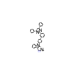 C=N/C=C\c1c(C)n(-c2ccc(-c3cccc(-c4nc(-c5ccccc5)cc(-c5ccccc5)n4)c3)cc2)c2ccccc12